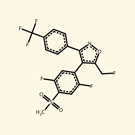 CS(=O)(=O)c1cc(F)c(-c2c(-c3ccc(C(F)(F)F)cc3)noc2CF)cc1F